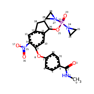 CNC(=O)c1ccc(Oc2cc3c(cc2[N+](=O)[O-])CCC3OP(=O)(N2CC2)N2CC2)cc1